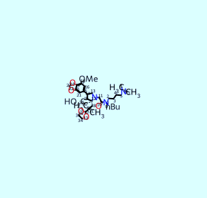 CCCCN(CCCCN(C)C)C(=O)CN1CC(c2cc(OC)c3c(c2)OCO3)[C@H](C(=O)O)[C@H]1CC(C)(C)C1OCCO1